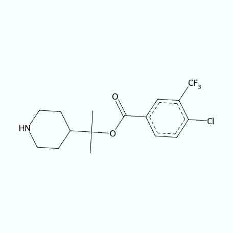 CC(C)(OC(=O)c1ccc(Cl)c(C(F)(F)F)c1)C1CCNCC1